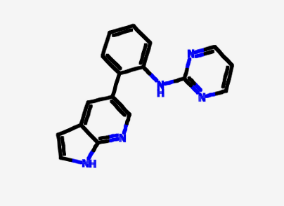 c1cnc(Nc2ccccc2-c2cnc3[nH]ccc3c2)nc1